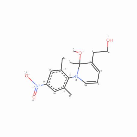 COC1(C)C(CCO)=CC=CN1c1c(C)cc([N+](=O)[O-])cc1C